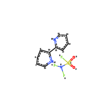 O=S(=O)(F)N(F)F.c1ccc(-c2ccccn2)nc1